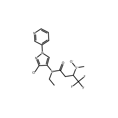 CCN(C(=O)CC([S+](C)[O-])C(F)(F)F)c1cn(-c2cccnc2)nc1Cl